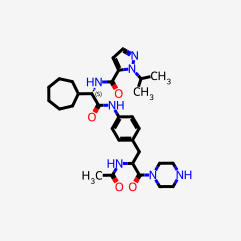 CC(=O)NC(Cc1ccc(NC(=O)[C@@H](NC(=O)c2ccnn2C(C)C)C2CCCCCC2)cc1)C(=O)N1CCNCC1